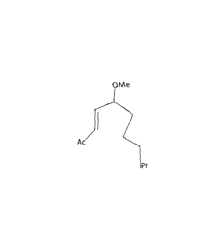 COC(C=CC(C)=O)CCCC(C)C